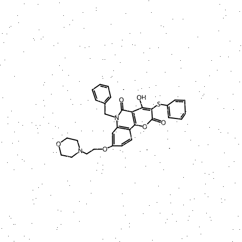 O=c1oc2c(c(O)c1Sc1ccccc1)c(=O)n(Cc1ccccc1)c1cc(OCCN3CCOCC3)ccc21